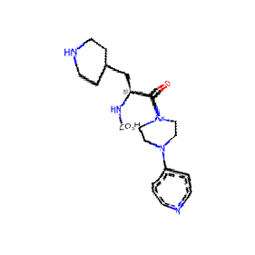 O=C(O)N[C@@H](CC1CCNCC1)C(=O)N1CCN(c2ccncc2)CC1